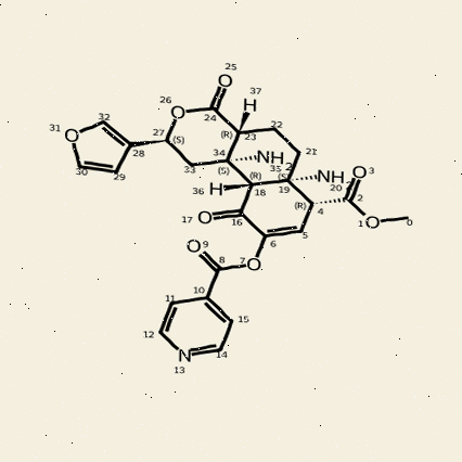 COC(=O)[C@@H]1C=C(OC(=O)c2ccncc2)C(=O)[C@H]2[C@@]1(N)CC[C@H]1C(=O)O[C@H](c3ccoc3)C[C@]21N